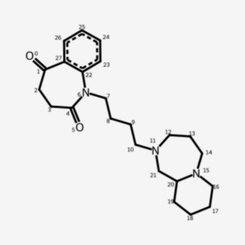 O=C1CCC(=O)N(CCCCN2CCCN3CCCCC3C2)c2ccccc21